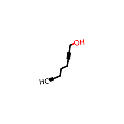 C#CCCCC#CCO